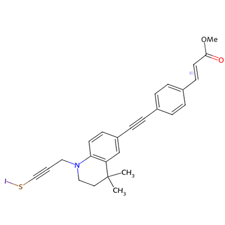 COC(=O)/C=C/c1ccc(C#Cc2ccc3c(c2)C(C)(C)CCN3CC#CSI)cc1